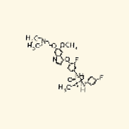 CCN(CC)CCOc1cc2nccc(Oc3ccc(NC(=O)[C@]4(C(=O)Nc5ccc(F)cc5)C[C@H]4C)cc3F)c2cc1OC